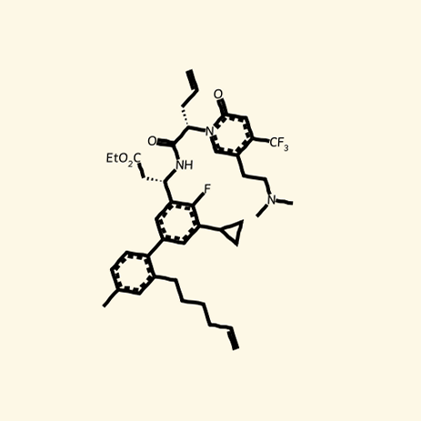 C=CCCCCc1cc(C)ccc1-c1cc(C2CC2)c(F)c([C@H](CC(=O)OCC)NC(=O)[C@H](CC=C)n2cc(CCN(C)C)c(C(F)(F)F)cc2=O)c1